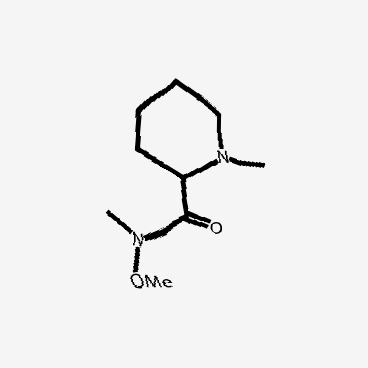 CON(C)C(=O)C1CCCCN1C